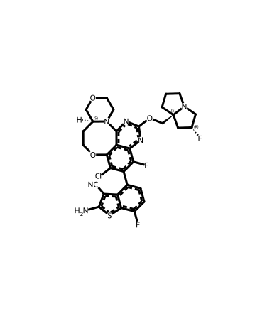 N#Cc1c(N)sc2c(F)ccc(-c3c(Cl)c4c5c(nc(OC[C@@]67CCCN6C[C@H](F)C7)nc5c3F)N3CCOC[C@@H]3CCO4)c12